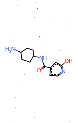 NC1CCC(NC(=O)c2ccnc(O)c2)CC1